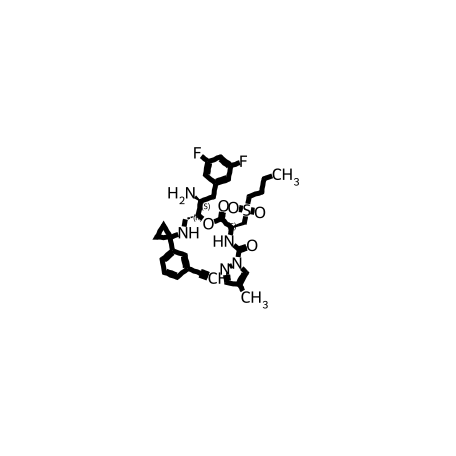 C#Cc1cccc(C2(NC[C@@H](OC(=O)[C@@H](CS(=O)(=O)CCCC)NC(=O)n3cc(C)cn3)[C@@H](N)Cc3cc(F)cc(F)c3)CC2)c1